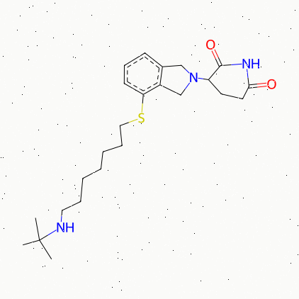 CC(C)(C)NCCCCCCCSc1cccc2c1CN(C1CCC(=O)NC1=O)C2